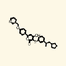 CC(CC1CCCC1)c1cccc(Sc2c(O)cc(-c3ccc(OCc4cccnc4)cc3)oc2=O)c1